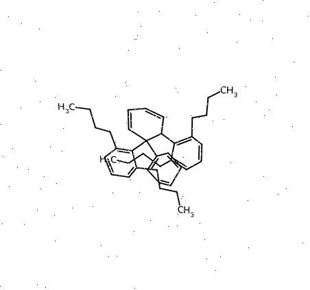 CCCCc1cccc(CCCC)c1C1[C]=CC=CC1(c1ccccc1)c1c(CCCC)cccc1CCCC